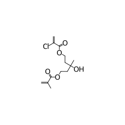 C=C(C)C(=O)OCCC(C)(O)CCOC(=O)C(=C)Cl